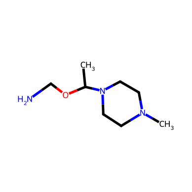 CC(OCN)N1CCN(C)CC1